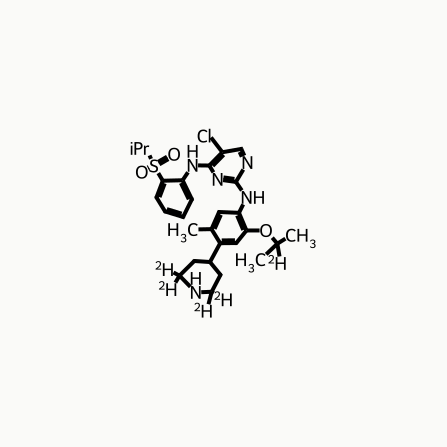 [2H]C1([2H])CC(c2cc(OC([2H])(C)C)c(Nc3ncc(Cl)c(Nc4ccccc4S(=O)(=O)C(C)C)n3)cc2C)CC([2H])([2H])N1